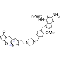 CCCCCNc1nc(N)nc2ccn(Cc3ccc(CN4CCN(CCN/C=C(CN5C(=O)C=CC5=O)\N=N/C)CC4)cc3OC)c12